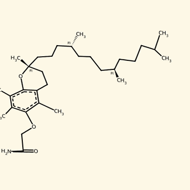 Cc1c(C)c2c(c(C)c1OCC(N)=O)CC[C@@](C)(CCC[C@H](C)CCC[C@H](C)CCCC(C)C)O2